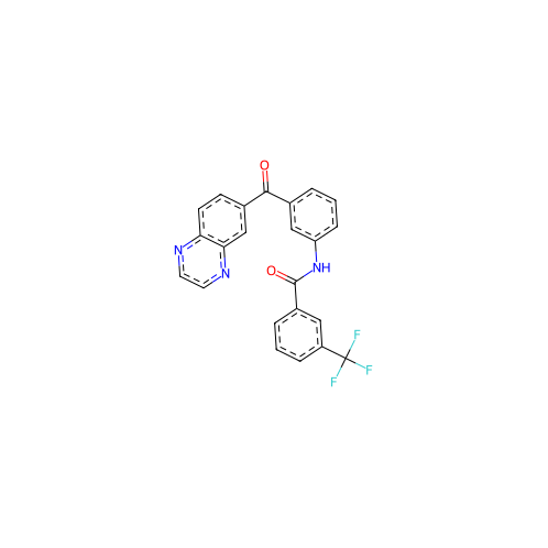 O=C(Nc1cccc(C(=O)c2ccc3nccnc3c2)c1)c1cccc(C(F)(F)F)c1